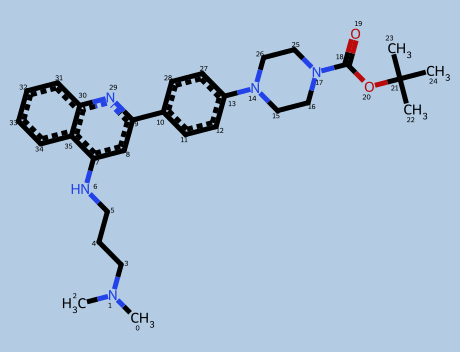 CN(C)CCCNc1cc(-c2ccc(N3CCN(C(=O)OC(C)(C)C)CC3)cc2)nc2ccccc12